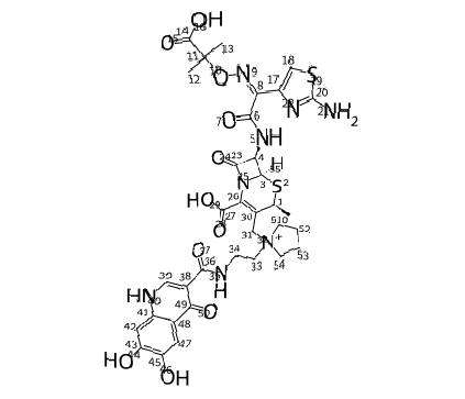 C[C@@H]1S[C@@H]2[C@H](NC(=O)/C(=N\OC(C)(C)C(=O)O)c3csc(N)n3)C(=O)N2C(C(=O)O)=C1C[N+]1(CCNC(=O)c2c[nH]c3cc(O)c(O)cc3c2=O)CCCC1